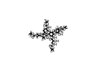 CN(C(=O)OC(C)(C)C)[C@@H]1[C@@H](O)[C@@H](O[C@@H]2[C@@H](O)[C@H](O[C@H]3OC(CNCC4CN(C(=O)OC(C)(C)C)C4)=CC[C@H]3NC(=O)OC(C)(C)C)[C@@H](NC(=O)OC(C)(C)C)C[C@H]2NC(=O)[C@@H](O)CNC(=O)OC(C)(C)C)OC[C@]1(C)O